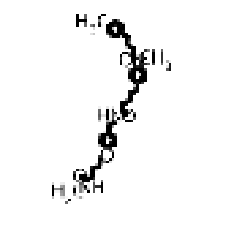 CNC(=O)CCCCOc1ccc(CCNC(=O)CCCCc2ccc(N(C)C(=O)CCCc3ccc(C)cc3)cc2)cc1